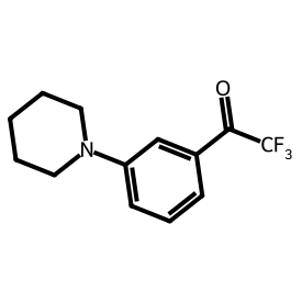 O=C(c1cccc(N2CCCCC2)c1)C(F)(F)F